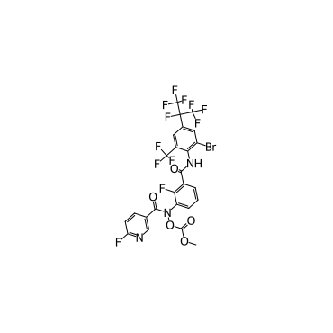 COC(=O)ON(C(=O)c1ccc(F)nc1)c1cccc(C(=O)Nc2c(Br)cc(C(F)(C(F)(F)F)C(F)(F)F)cc2C(F)(F)F)c1F